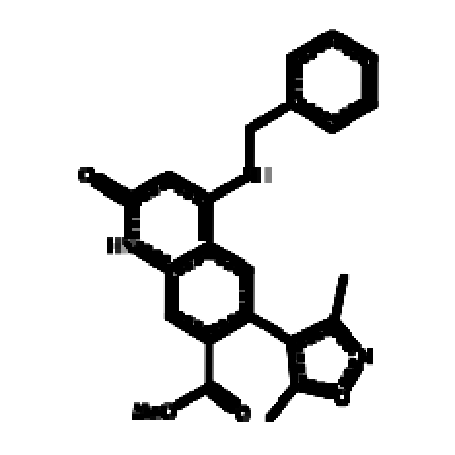 COC(=O)c1cc2[nH]c(=O)cc(NCc3ccccc3)c2cc1-c1c(C)noc1C